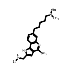 CCNCc1cc2c(N)nc3cc(CCCCCN(C)C(C)(C)C)ccc3c2[nH]1